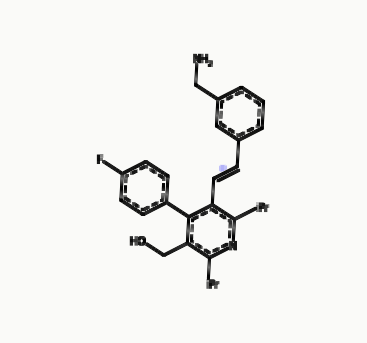 CC(C)c1nc(C(C)C)c(CO)c(-c2ccc(F)cc2)c1/C=C/c1cccc(CN)c1